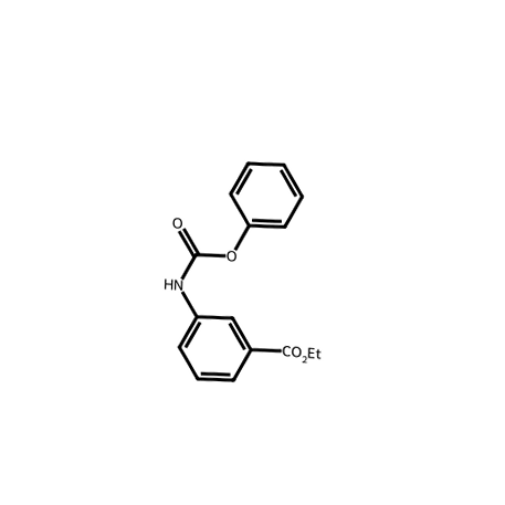 CCOC(=O)c1cccc(NC(=O)Oc2ccccc2)c1